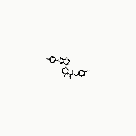 Cc1ccc(-n2cc3c(N4CCN(C)[C@H](C(=O)NCc5ccc(Br)cc5)C4)ncnc3n2)cc1